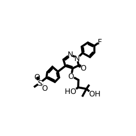 CC(C)(O)C(O)COc1c(-c2ccc(S(C)(=O)=O)cc2)cnn(-c2ccc(F)cc2)c1=O